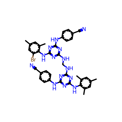 Cc1cc(C)c(Nc2nc(NCNc3nc(Nc4ccc(C#N)cc4)nc(Nc4c(C)cc(C)cc4Br)n3)nc(Nc3ccc(C#N)cc3)n2)c(C)c1